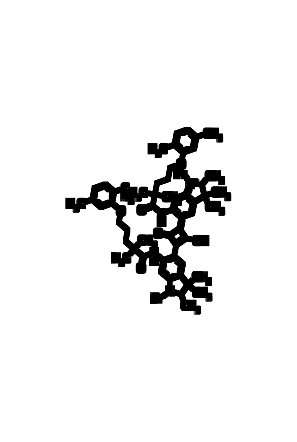 Cc1ccc(C)c(OCCCC(C)(C)C(=O)Nc2cc3c(cc2C2=C(O)/C(=c4\cc5c(cc4NC(=O)C(C)(C)CCCOc4cc(C)ccc4C)=[N+](C(C)C)C(C)C5(C)C)C2=O)C(C)(C)C(C)N3C(C)C)c1